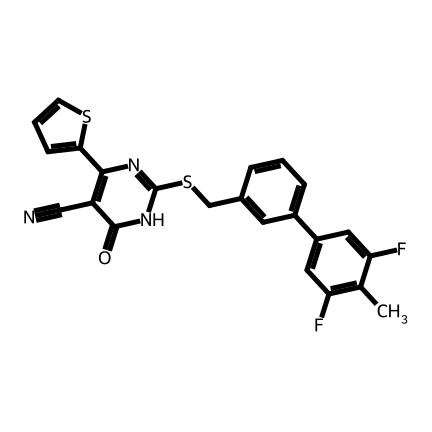 Cc1c(F)cc(-c2cccc(CSc3nc(-c4cccs4)c(C#N)c(=O)[nH]3)c2)cc1F